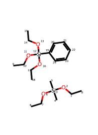 CCO[Si](C)(C)OCC.CCO[Si](OCC)(OCC)c1ccccc1